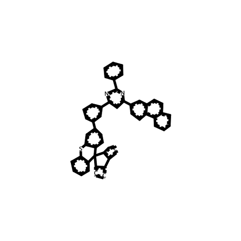 c1ccc(-c2nc(-c3cccc(-c4ccc5c(c4)Sc4ccccc4C54c5ccccc5-c5ccccc54)c3)cc(-c3ccc4c(ccc5ccccc54)c3)n2)cc1